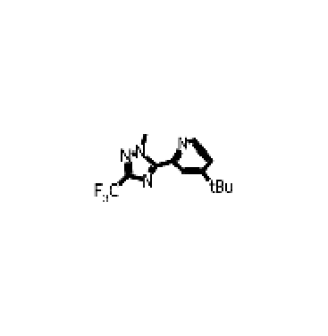 Cn1nc(C(F)(F)F)nc1-c1cc(C(C)(C)C)ccn1